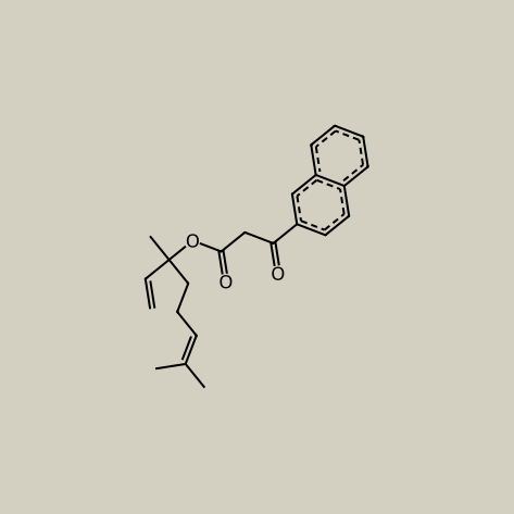 C=CC(C)(CCC=C(C)C)OC(=O)CC(=O)c1ccc2ccccc2c1